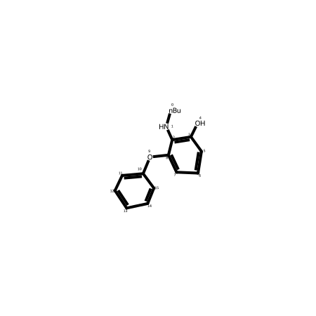 CCCCNc1c(O)cccc1Oc1ccccc1